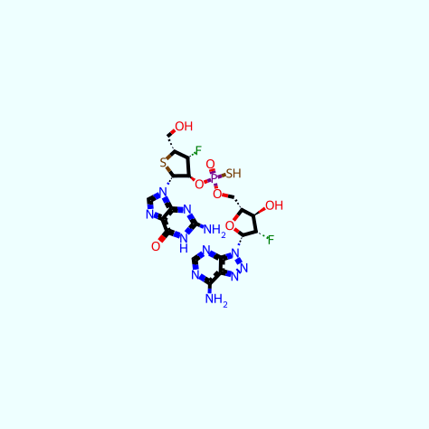 Nc1nc2c(ncn2[C@@H]2S[C@H](CO)[C@H](F)[C@H]2OP(=O)(S)OC[C@H]2O[C@@H](n3nnc4c(N)ncnc43)[C@@H](F)[C@@H]2O)c(=O)[nH]1